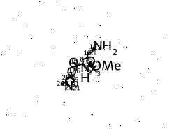 COC(C)(C)C(=O)N[C@@H](CCCCCN)C(=O)COc1cc(C)nc(C)c1